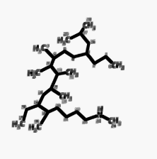 CCCC(CCC(C)C(C)C(C)C(C)CC(CC)C(C)CCCCNC)CC(C)C